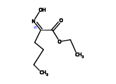 CCCC/C(=N/O)C(=O)OCC